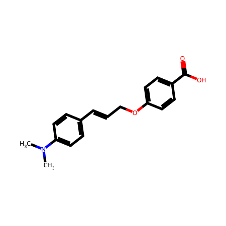 CN(C)c1ccc(C=CCOc2ccc(C(=O)O)cc2)cc1